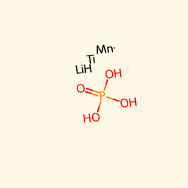 O=P(O)(O)O.[LiH].[Mn].[Ti]